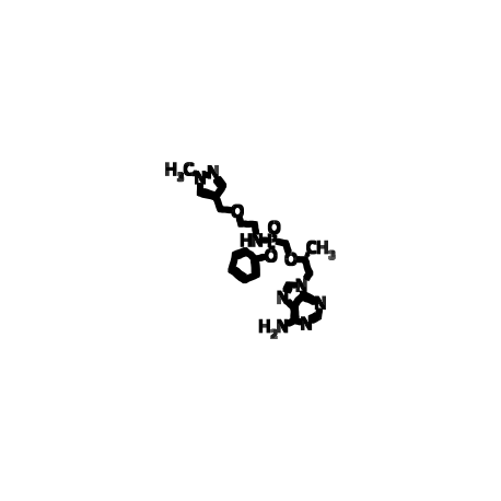 C[C@H](Cn1cnc2c(N)ncnc21)OCP(=O)(NCCOCc1cnn(C)c1)Oc1ccccc1